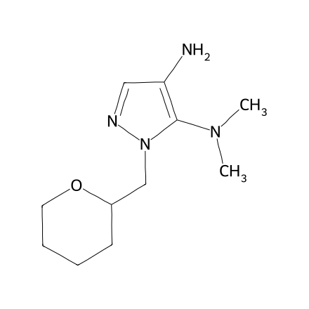 CN(C)c1c(N)cnn1CC1CCCCO1